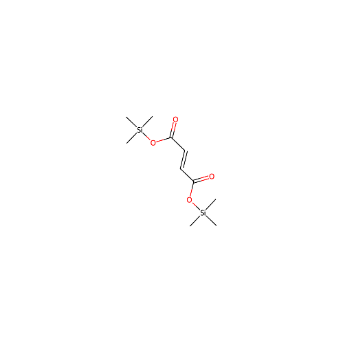 C[Si](C)(C)OC(=O)C=CC(=O)O[Si](C)(C)C